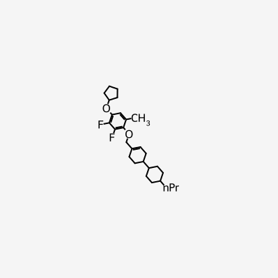 CCCC1CCC(C2CC=C(COc3c(C)cc(OC4CCCC4)c(F)c3F)CC2)CC1